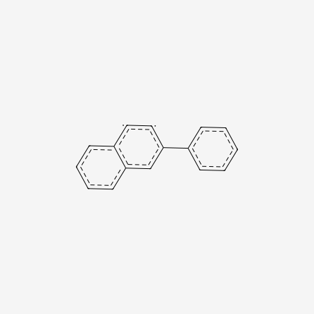 [c]1[c]c2ccccc2cc1-c1ccccc1